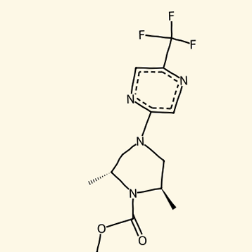 CCOC(=O)N1[C@H](C)CN(c2cnc(C(F)(F)F)cn2)C[C@H]1C